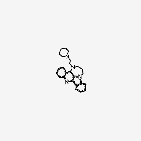 c1ccc2c3c4c(nc2c1)c1ccccc1n4CCCN3CCN1CCCCC1